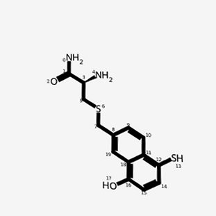 NC(=O)[C@@H](N)CSCc1ccc2c(S)ccc(O)c2c1